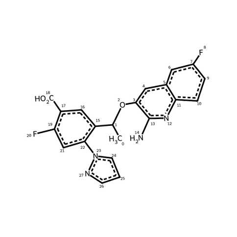 CC(Oc1cc2cc(F)ccc2nc1N)c1cc(C(=O)O)c(F)cc1-n1cccn1